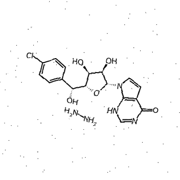 NN.O=c1nc[nH]c2c1ccn2[C@@H]1O[C@H]([C@H](O)c2ccc(Cl)cc2)[C@@H](O)[C@H]1O